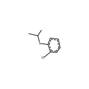 C[C](C)Sc1ccccc1Cl